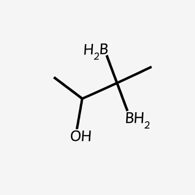 BC(B)(C)C(C)O